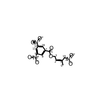 CC(=CCOC(=O)c1cc([N+](=O)[O-])cc([N+](=O)[O-])c1)C[N+](=O)[O-]